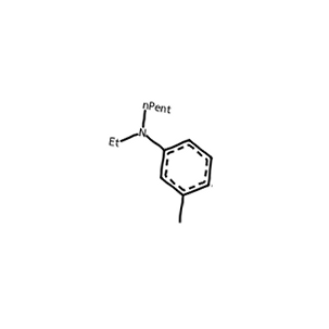 CCCCCN(CC)c1cc[c]c(C)c1